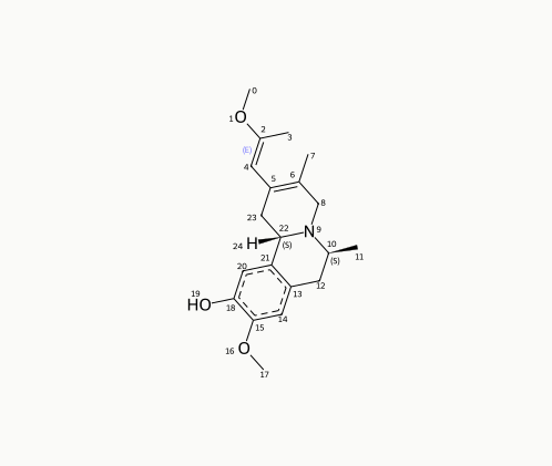 CO/C(C)=C/C1=C(C)CN2[C@@H](C)Cc3cc(OC)c(O)cc3[C@@H]2C1